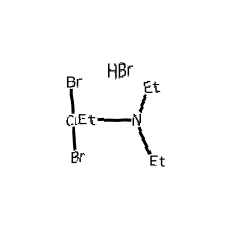 Br.CCN(CC)CC.[Br][Cu][Br]